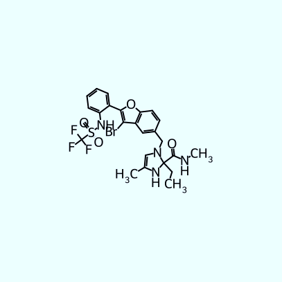 CCC1(C(=O)NC)NC(C)=CN1Cc1ccc2oc(-c3ccccc3NS(=O)(=O)C(F)(F)F)c(Br)c2c1